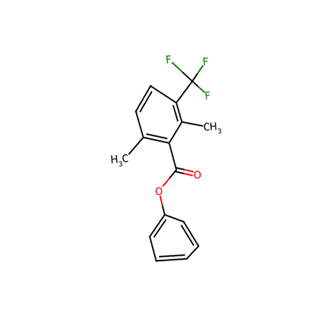 Cc1ccc(C(F)(F)F)c(C)c1C(=O)Oc1ccccc1